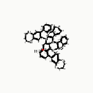 Cc1cc2c3c(c1)N(c1cc4c(cc1-c1ccccc1)OCCCO4)c1oc4ccccc4c1B3c1c(oc3ccccc13)N2c1cc2c(cc1-c1ccccc1)OCCCO2